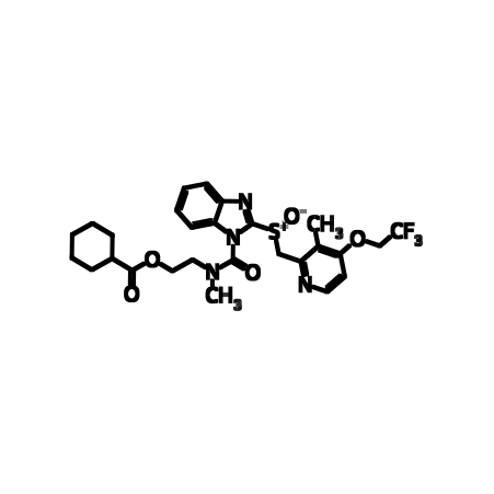 Cc1c(OCC(F)(F)F)ccnc1C[S+]([O-])c1nc2ccccc2n1C(=O)N(C)CCOC(=O)C1CCCCC1